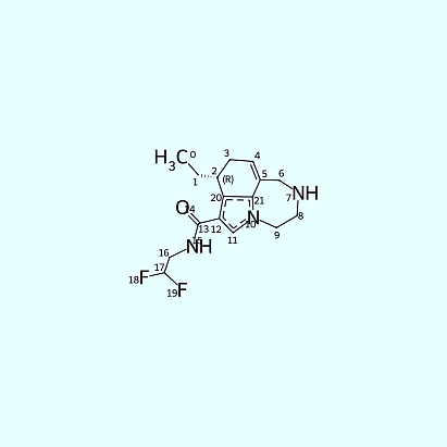 CC[C@@H]1CC=C2CNCCn3cc(C(=O)NCC(F)F)c1c32